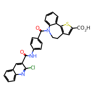 O=C(O)c1cc2c(s1)-c1ccccc1N(C(=O)c1ccc(NC(=O)c3cc4ccccc4nc3Cl)cc1)CC2